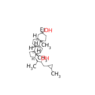 CC[C@]1(O)CC[C@@]2(C)[C@@H](CC[C@@H]3[C@@H]2CC[C@]2(C)[C@@H](C(C)C(O)CC4CC4C)CC[C@@H]32)C1